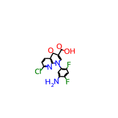 Nc1cc(-n2cc(C(=O)O)c(=O)c3ccc(Cl)nc32)c(F)cc1F